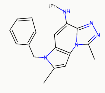 Cc1cc2c(cc(NC(C)C)c3nnc(C)n32)n1Cc1ccccc1